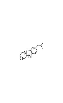 CC(C)Cc1ccc2c(c1)CN1CCOCC1=N2